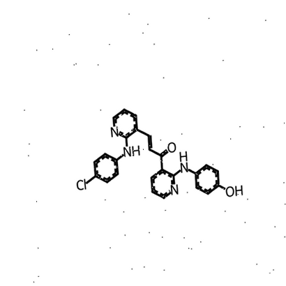 O=C(C=Cc1cccnc1Nc1ccc(Cl)cc1)c1cccnc1Nc1ccc(O)cc1